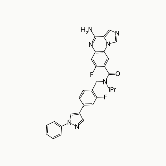 CC(C)N(Cc1ccc(-c2cnn(-c3ccccc3)c2)cc1F)C(=O)c1cc2c(cc1F)nc(N)c1cncn12